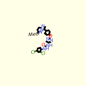 COc1ccc2ncc(-c3ccc(Oc4ncc(NC(=O)Nc5ccc(Cl)cc5Cl)cn4)cc3)n2n1